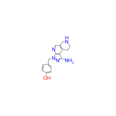 Nc1nn(Cc2ccc(O)cc2)c2ncc3c(c12)CCNC3